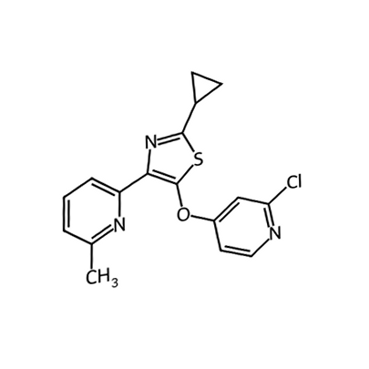 Cc1cccc(-c2nc(C3CC3)sc2Oc2ccnc(Cl)c2)n1